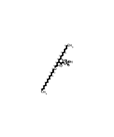 CCCCCCCCCCCCC=COC=CCC(CCCCCCCCCC)C(O)COP(=O)(O)O